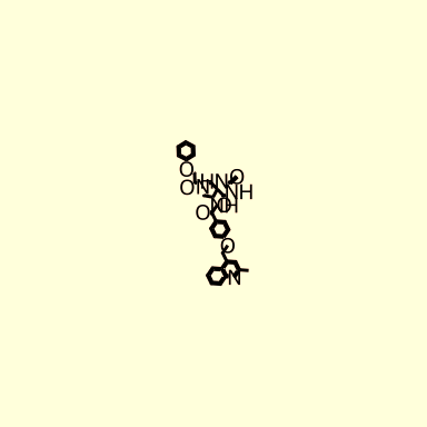 Cc1cc(COc2ccc(C(=O)NC3CN(C(=O)COc4ccccc4)CC34NC(=O)NC4=O)cc2)c2ccccc2n1